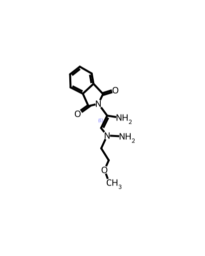 COCCN(N)/C=C(\N)N1C(=O)c2ccccc2C1=O